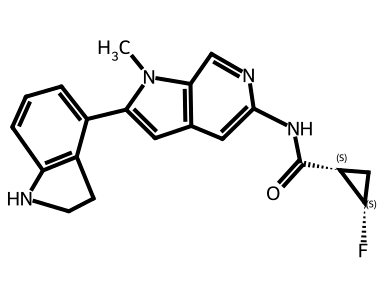 Cn1c(-c2cccc3c2CCN3)cc2cc(NC(=O)[C@@H]3C[C@@H]3F)ncc21